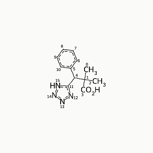 CC(C)(C(=O)O)C(c1ccccc1)c1nnn[nH]1